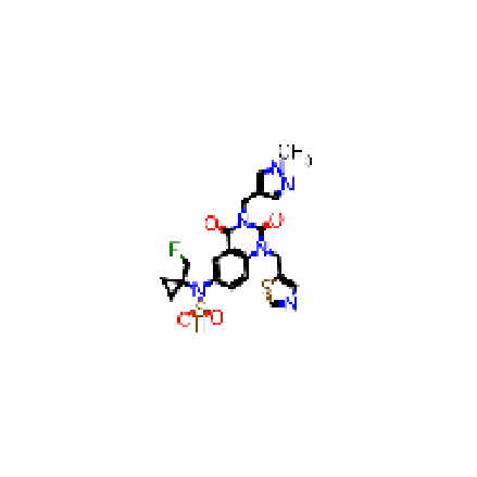 Cn1cc(Cn2c(=O)c3cc(N([SH](=O)=O)C4(CF)CC4)ccc3n(Cc3cncs3)c2=O)cn1